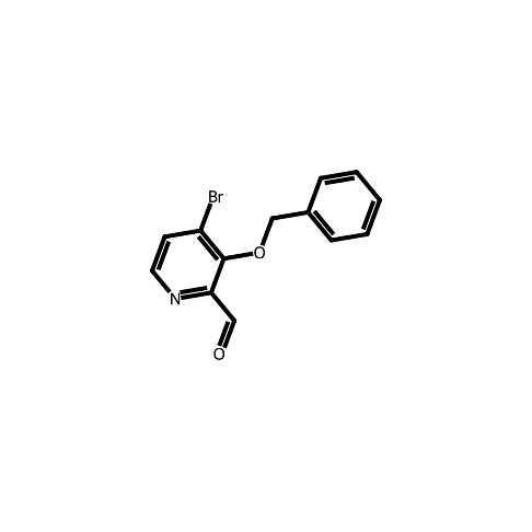 O=Cc1nccc(Br)c1OCc1ccccc1